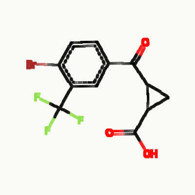 O=C(O)C1CC1C(=O)c1ccc(Br)c(C(F)(F)F)c1